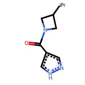 CC(C)C1CN(C(=O)c2cn[nH]c2)C1